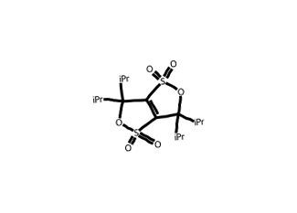 CC(C)C1(C(C)C)OS(=O)(=O)C2=C1S(=O)(=O)OC2(C(C)C)C(C)C